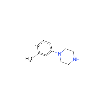 Cc1[c]ccc(N2CCNCC2)c1